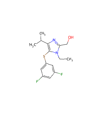 CCn1c(CO)nc(C(C)C)c1Sc1cc(F)cc(F)c1